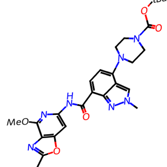 COc1nc(NC(=O)c2ccc(N3CCN(C(=O)OC(C)(C)C)CC3)c3cn(C)nc23)cc2oc(C)nc12